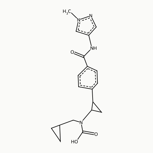 Cn1cc(NC(=O)c2ccc(C3CC3N(CC3CC3)C(=O)O)cc2)cn1